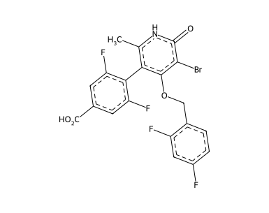 Cc1[nH]c(=O)c(Br)c(OCc2ccc(F)cc2F)c1-c1c(F)cc(C(=O)O)cc1F